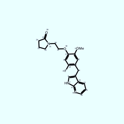 COc1cc(Cc2c[nH]c3ncccc23)c(F)cc1OCCN1CCCC1=O